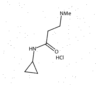 CNCCC(=O)NC1CC1.Cl